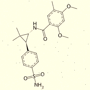 COc1cc(OC)c(C(=O)N[C@@H]2[C@@H](c3ccc(S(N)(=O)=O)cc3)C2(C)C)cc1C